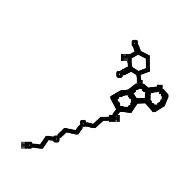 O=C1CCC(n2c3ccc(NCCOCCOCCO)cc3c3cccnc32)C(=O)N1